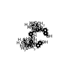 C=C(C)[C@H](NC(=O)[C@H](C)NC)C(=O)N1C[C@@H](NC(=O)c2cccc(C(=O)N[C@H]3C[C@@H](C(=O)N[C@@H]4CCCc5cc(O)ccc54)N(C(=O)[C@@H](NC(=O)[C@H](C)NC)C(C)(C)C)C3)c2)C[C@H]1C(=O)N[C@@H]1CCCc2cc(O)ccc21